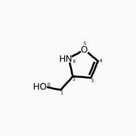 OCC1C=CON1